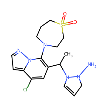 CC(c1cc(Cl)c2ccnn2c1N1CCCS(=O)(=O)CC1)N1C=CCN1N